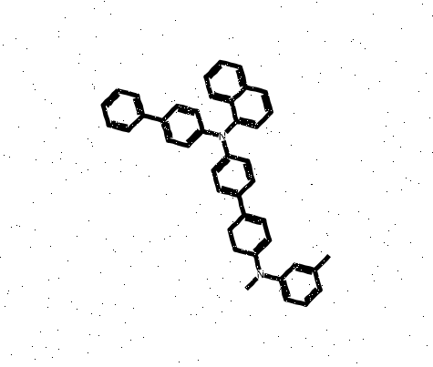 Cc1cccc(N(C)C2=CC=C(c3ccc(N(c4ccc(-c5ccccc5)cc4)c4cccc5ccccc45)cc3)CC2)c1